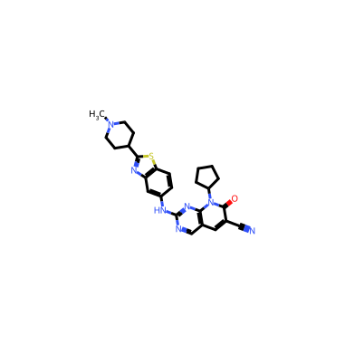 CN1CCC(c2nc3cc(Nc4ncc5cc(C#N)c(=O)n(C6CCCC6)c5n4)ccc3s2)CC1